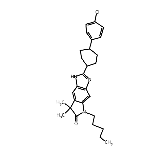 CCCCCN1C(=O)C(C)(C)c2cc3[nH]c(C4CCC(c5ccc(Cl)cc5)CC4)nc3cc21